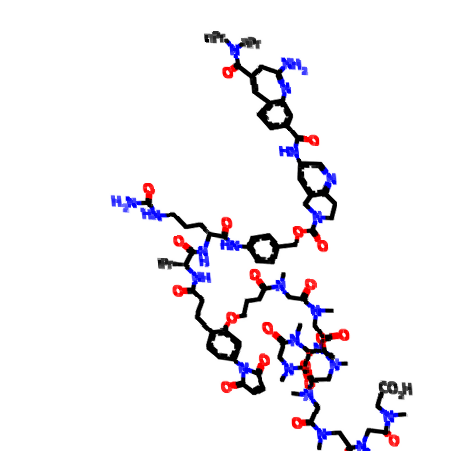 CCCN(CCC)C(=O)C1=Cc2ccc(C(=O)Nc3cnc4c(c3)CN(C(=O)OCc3ccc(NC(=O)[C@H](CCCNC(N)=O)NC(=O)[C@@H](NC(=O)CCc5ccc(N6C(=O)C=CC6=O)cc5OCCCC(=O)N(C)CC(=O)N(C)CC(=O)N(C)CC(=O)N(C)CC(=O)N(C)CC(=O)N(C)CC(=O)N(C)CC(=O)N(C)CC(=O)N(C)CC(=O)N(C)CC(=O)O)C(C)C)cc3)CC4)cc2N=C(N)C1